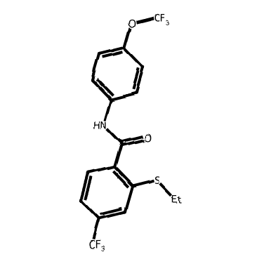 CCSc1cc(C(F)(F)F)ccc1C(=O)Nc1ccc(OC(F)(F)F)cc1